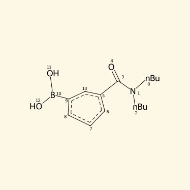 CCCCN(CCCC)C(=O)c1cccc(B(O)O)c1